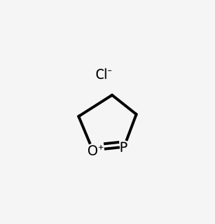 C1C[O+]=PC1.[Cl-]